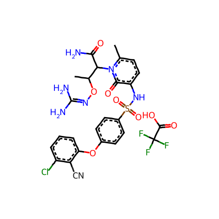 Cc1ccc(NS(=O)(=O)c2ccc(Oc3cccc(Cl)c3C#N)cc2)c(=O)n1C(C(N)=O)C(C)ON=C(N)N.O=C(O)C(F)(F)F